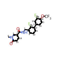 Cn1cc(C(=O)NCc2cccc(-c3ccc(OC(F)(F)F)c(F)c3)c2F)ccc1=O